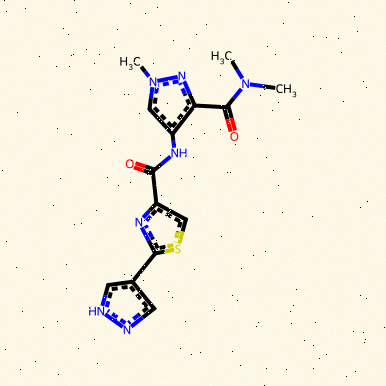 CN(C)C(=O)c1nn(C)cc1NC(=O)c1csc(-c2cn[nH]c2)n1